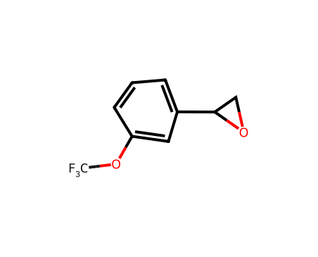 FC(F)(F)Oc1cccc(C2CO2)c1